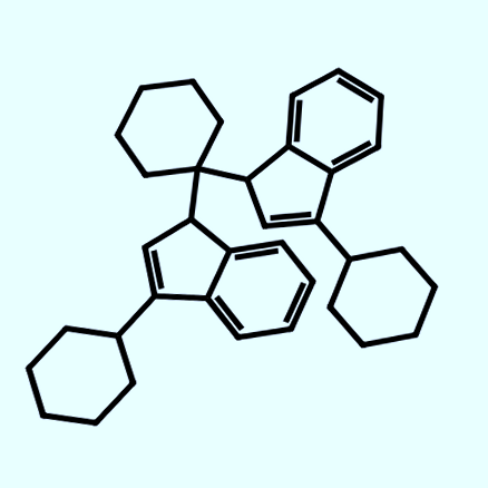 C1=C(C2CCCCC2)c2ccccc2C1C1(C2C=C(C3CCCCC3)c3ccccc32)CCCCC1